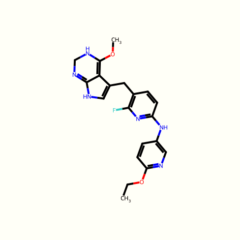 CCOc1ccc(Nc2ccc(Cc3c[nH]c4c3=C(OC)NCN=4)c(F)n2)cn1